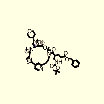 CC(C)(C)OC(=O)NCC(CCC(=O)OCc1ccccc1)C(=O)N1CCCc2cc(ccn2)-c2nc(cs2)C(=O)N/C(=C/NC2CCOCC2)C(=N)C(=O)OC1(C)C